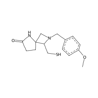 COc1ccc(CN2CC3(CCC(=O)N3)C2CS)cc1